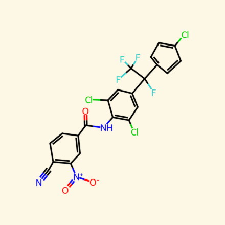 N#Cc1ccc(C(=O)Nc2c(Cl)cc(C(F)(c3ccc(Cl)cc3)C(F)(F)F)cc2Cl)cc1[N+](=O)[O-]